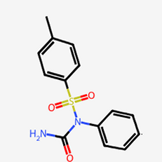 Cc1ccc(S(=O)(=O)N(C(N)=O)c2cc[c]cc2)cc1